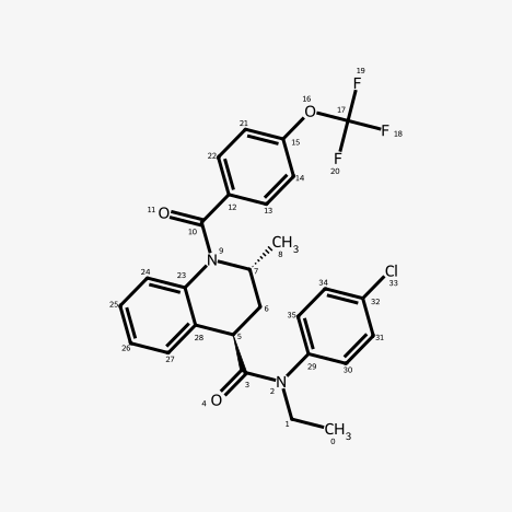 CCN(C(=O)[C@@H]1C[C@@H](C)N(C(=O)c2ccc(OC(F)(F)F)cc2)c2ccccc21)c1ccc(Cl)cc1